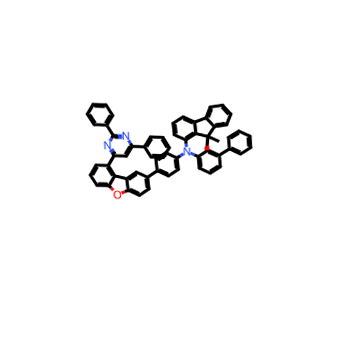 CC1(C)c2ccccc2-c2cccc(N(c3ccc(-c4ccc5oc6cccc(-c7cc(-c8ccccc8)nc(-c8ccccc8)n7)c6c5c4)cc3)c3cccc(-c4ccccc4)c3)c21